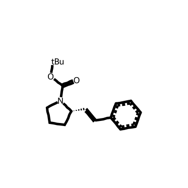 CC(C)(C)OC(=O)N1CCC[C@H]1C=Cc1ccccc1